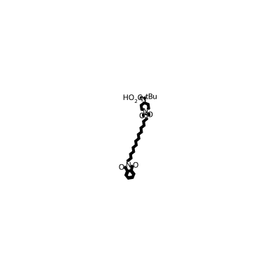 CC(C)(C)N(C(=O)O)C1CCN(S(=O)(=O)CCCCCCCCCCCCCCN2C(=O)c3ccccc3C2=O)CC1